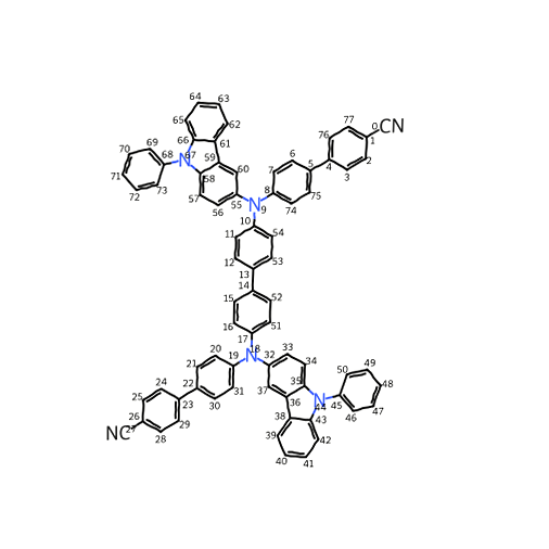 N#Cc1ccc(-c2ccc(N(c3ccc(-c4ccc(N(c5ccc(-c6ccc(C#N)cc6)cc5)c5ccc6c(c5)c5ccccc5n6-c5ccccc5)cc4)cc3)c3ccc4c(c3)c3ccccc3n4-c3ccccc3)cc2)cc1